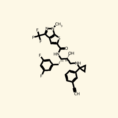 C#Cc1cccc(C2(NC[C@@H](O)[C@H](Cc3cc(F)cc(F)c3)NC(=O)c3cc4c(C(F)(F)F)nn(C)c4s3)CC2)c1